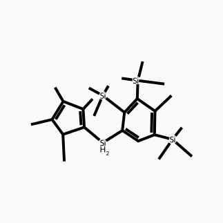 CC1=C(C)C(C)C([SiH2]c2cc([Si](C)(C)C)c(C)c([Si](C)(C)C)c2[Si](C)(C)C)=C1C